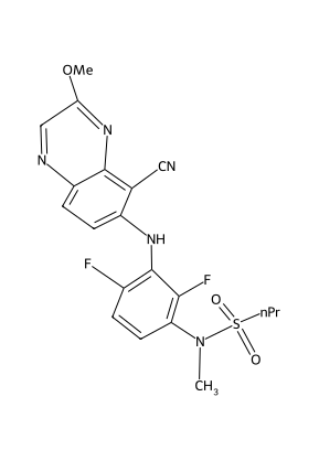 CCCS(=O)(=O)N(C)c1ccc(F)c(Nc2ccc3ncc(OC)nc3c2C#N)c1F